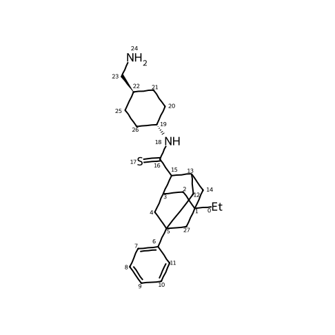 CCC12CC3CC(c4ccccc4)(CC(C1)C3C(=S)N[C@H]1CC[C@H](CN)CC1)C2